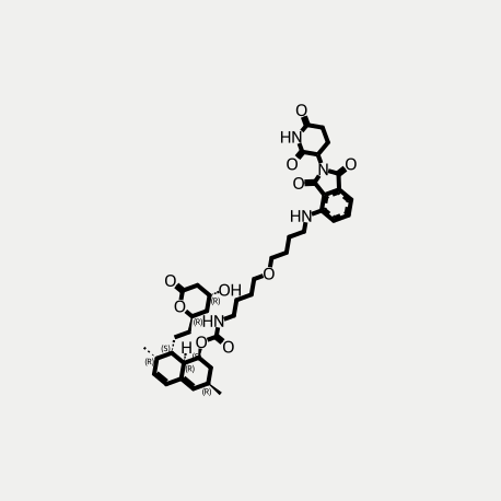 C[C@H]1C=C2C=C[C@H](C)[C@H](CC[C@@H]3C[C@@H](O)CC(=O)O3)[C@H]2[C@@H](OC(=O)NCCCCOCCCCNc2cccc3c2C(=O)N(C2CCC(=O)NC2=O)C3=O)C1